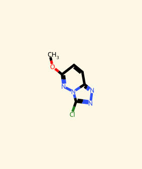 COc1ccc2nnc(Cl)n2n1